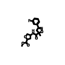 COC(=O)C1CC(NC(=O)C2(C)CC(c3cccc(F)c3)=NO2)CO1